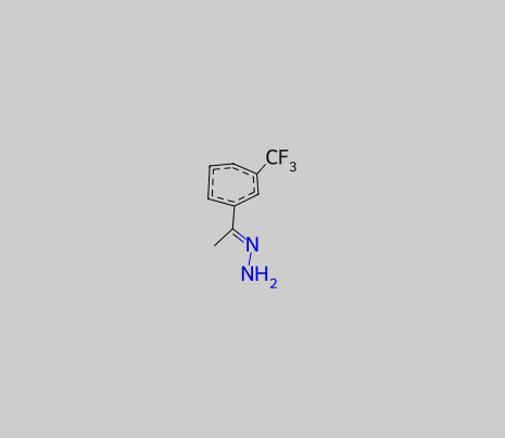 CC(=NN)c1cccc(C(F)(F)F)c1